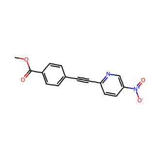 COC(=O)c1ccc(C#Cc2ccc([N+](=O)[O-])cn2)cc1